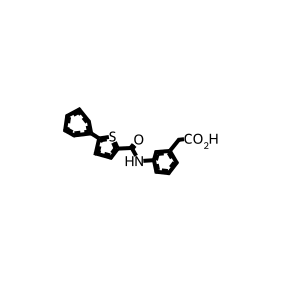 O=C(O)Cc1cccc(NC(=O)c2ccc(-c3ccccc3)s2)c1